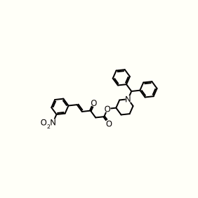 O=C(C=Cc1cccc([N+](=O)[O-])c1)CC(=O)OC1CCCN(C(c2ccccc2)c2ccccc2)C1